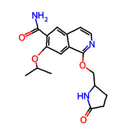 CC(C)Oc1cc2c(OCC3CCC(=O)N3)nccc2cc1C(N)=O